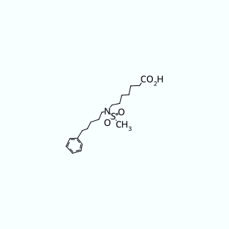 CS(=O)(=O)N(CCCCCCC(=O)O)CCCCCc1ccccc1